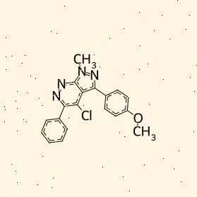 COc1ccc(-c2nn(C)c3nnc(-c4ccccc4)c(Cl)c23)cc1